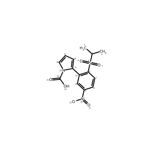 CC(C)S(=O)(=O)c1ccc([N+](=O)[O-])cc1-c1cccn1C(=O)O